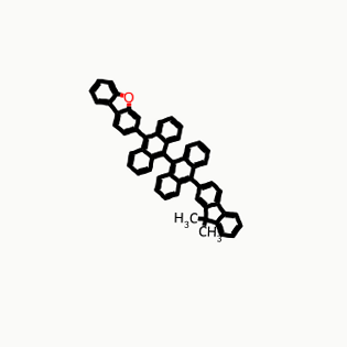 CC1(C)c2ccccc2-c2ccc(-c3c4ccccc4c(-c4c5ccccc5c(-c5ccc6c(c5)oc5ccccc56)c5ccccc45)c4ccccc34)cc21